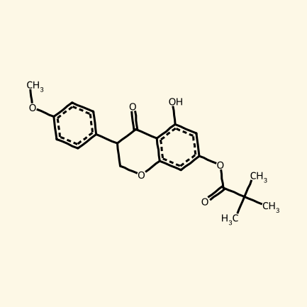 COc1ccc(C2COc3cc(OC(=O)C(C)(C)C)cc(O)c3C2=O)cc1